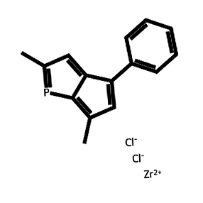 CC1=PC2=C(C)C=C(c3ccccc3)C2=C1.[Cl-].[Cl-].[Zr+2]